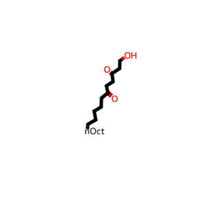 CCCCCCCCCCCCCC(=O)CCC(=O)CCO